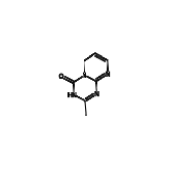 CC1=NC2=NC=CCN2C(=O)N1